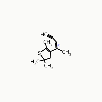 C#C/C=C(/C)C1=C(C)SC(C)(C)C1